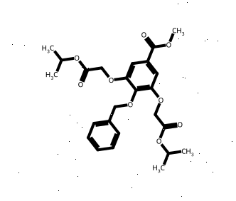 COC(=O)c1cc(OCC(=O)OC(C)C)c(OCc2ccccc2)c(OCC(=O)OC(C)C)c1